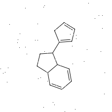 C1=CCC(C2CCC3C=CC=CC32)=C1